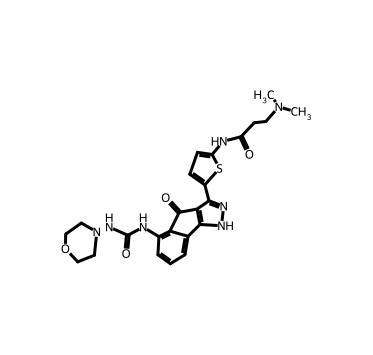 CN(C)CCC(=O)Nc1ccc(-c2n[nH]c3c2C(=O)c2c(NC(=O)NN4CCOCC4)cccc2-3)s1